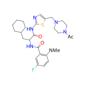 CNc1ccc(F)cc1C(=O)NC(CC1CCCCC1)C(=O)Nc1ncc(CN2CCN(C(C)=O)CC2)s1